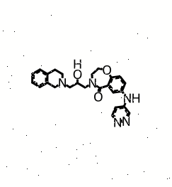 O=C1c2cc(Nc3ccnnc3)ccc2OCCN1CC(O)CN1CCc2ccccc2C1